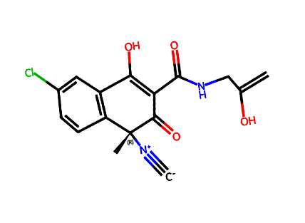 [C-]#[N+][C@@]1(C)C(=O)C(C(=O)NCC(=C)O)=C(O)c2cc(Cl)ccc21